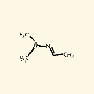 CC=NN(C)C